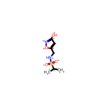 CC(C)S(=O)(=O)NCc1cc(O)no1